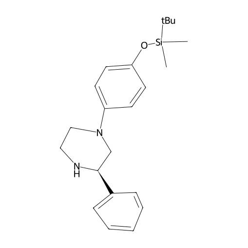 CC(C)(C)[Si](C)(C)Oc1ccc(N2CCN[C@H](c3ccccc3)C2)cc1